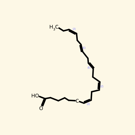 CC/C=C\C/C=C/C/C=C/C/C=C\C/C=C\CCCCCC(=O)O